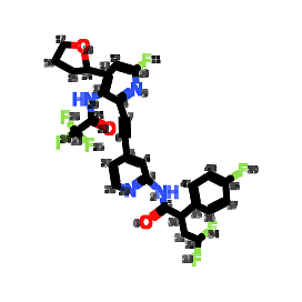 O=C(Nc1cc(C#Cc2nc(F)cc(C3CCCO3)c2NC(=O)C(F)(F)F)ccn1)C(CC(F)F)c1ccc(F)cc1